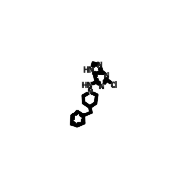 Clc1nc(NN2CCC(Cc3ccccc3)CC2)c2[nH]cnc2n1